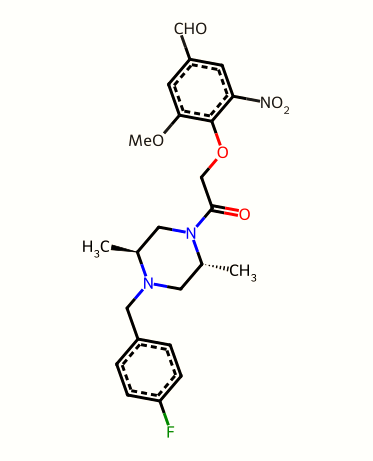 COc1cc(C=O)cc([N+](=O)[O-])c1OCC(=O)N1C[C@H](C)N(Cc2ccc(F)cc2)C[C@H]1C